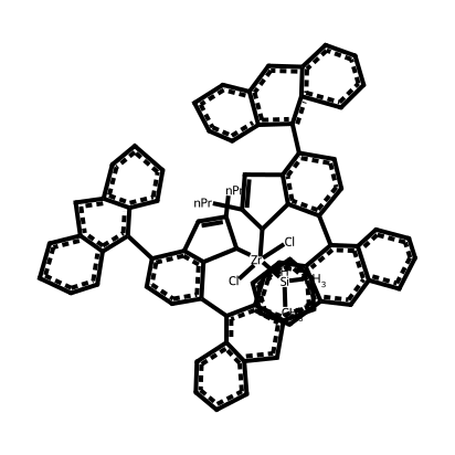 CCCC1=Cc2c(-c3c4ccccc4cc4ccccc34)ccc(-c3c4ccccc4cc4ccccc34)c2[CH]1[Zr]([Cl])([Cl])([CH]1C(CCC)=Cc2c(-c3c4ccccc4cc4ccccc34)ccc(-c3c4ccccc4cc4ccccc34)c21)[SiH](C)C